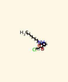 CCCCCCCCCCNC(=O)c1ccccc1C(=O)CCCCl